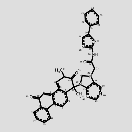 CC1C=c2c(ccc3c2=CC(=O)c2ccccc2-3)C(C)(N2CN(CC(=O)Nc3ncc(-c4ccccc4)s3)c3cncnc32)C1=O